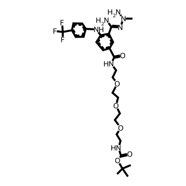 CN(N)/N=C(\N)c1cc(C(=O)NCCOCCOCCOCCNC(=O)OC(C)(C)C)ccc1Nc1ccc(C(F)(F)F)cc1